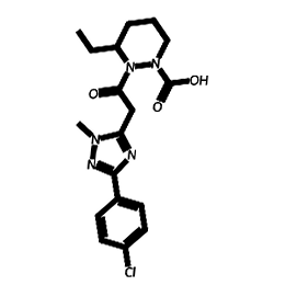 CCC1CCCN(C(=O)O)N1C(=O)Cc1nc(-c2ccc(Cl)cc2)nn1C